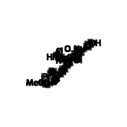 COc1ccc(CN2CCN(C3CC4(CCN(c5ccc(C(=O)NS(=O)(=O)c6ccc(NCC7CCC(C)(O)CC7)c([N+](=O)[O-])c6)c(Oc6cnc7[nH]cc(Cl)c7c6)c5)CC4)C3)[C@H](c3ccccc3C(C)C)C2)cc1